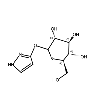 OC[C@H]1SC(Oc2cc[nH]n2)[C@H](O)[C@@H](O)[C@@H]1O